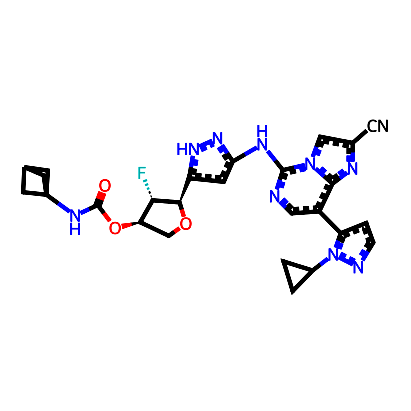 N#Cc1cn2c(Nc3cc([C@H]4OC[C@@H](OC(=O)NC56CC(C5)C6)[C@@H]4F)[nH]n3)ncc(-c3ccnn3C3CC3)c2n1